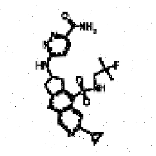 CC(C)(F)CNS(=O)(=O)c1c2c(cc3cnc(C4CC4)cc13)C[C@@H](Nc1ccc(C(N)=O)nn1)C2